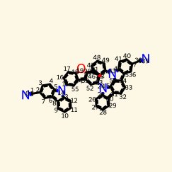 N#Cc1ccc2c(c1)c1ccccc1n2-c1ccc2oc3ccc(-n4c5ccccc5c5ccc6c7cc(C#N)ccc7n(-c7ccccc7)c6c54)cc3c2c1